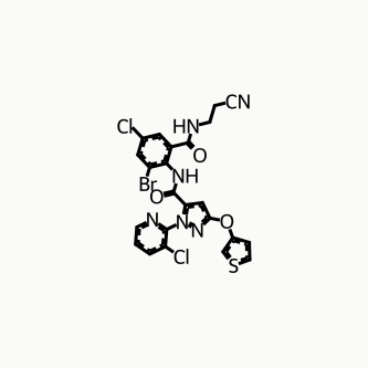 N#CCCNC(=O)c1cc(Cl)cc(Br)c1NC(=O)c1cc(Oc2ccsc2)nn1-c1ncccc1Cl